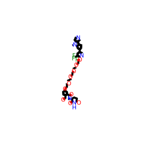 CN(C(=O)c1cc(OCCOCCOCCOCCOCCOc2ncc(-c3ccc4c5cnccc5n(C)c4c3)cc2C(F)(F)F)ccc1C=O)C1CCC(=O)NC1=O